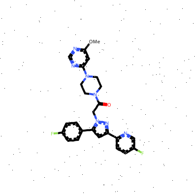 COc1cc(N2CCN(C(=O)Cn3nc(-c4ccc(F)cn4)cc3-c3ccc(F)cc3)CC2)ncn1